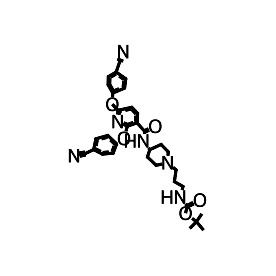 CC(C)(C)OC(=O)NCCCN1CCC(NC(=O)c2ccc(Oc3ccc(C#N)cc3)nc2Oc2ccc(C#N)cc2)CC1